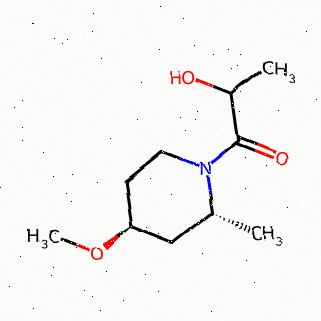 CO[C@H]1CCN(C(=O)C(C)O)[C@H](C)C1